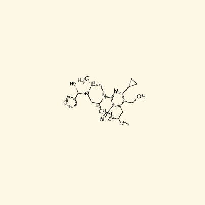 CC(C)Cc1c(C#N)c(N2C[C@@H](C)N(C(O)c3ccoc3)C[C@@H]2C)nc(C2CC2)c1CO